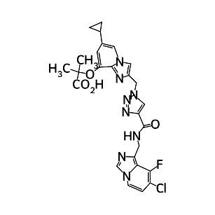 CC(C)(Oc1cc(C2CC2)cn2cc(Cn3cc(C(=O)NCc4ncn5ccc(Cl)c(F)c45)nn3)nc12)C(=O)O